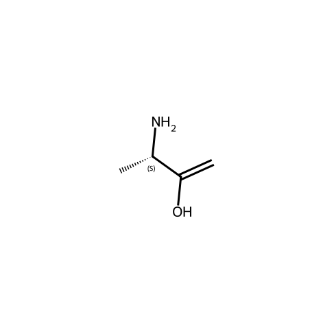 C=C(O)[C@H](C)N